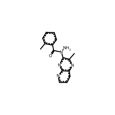 Cc1ccccc1C(=O)N(N)c1nc2ncccc2nc1C